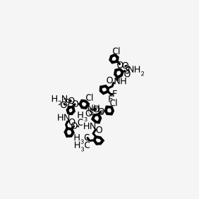 CC(C)c1ccccc1CC(=O)Nc1ccc(Oc2cccc(Cl)c2)c(S(N)(=O)=O)c1.CCOc1ccccc1CC(=O)Nc1ccc(Oc2cccc(Cl)c2)c(S(N)(=O)=O)c1.NS(=O)(=O)c1cc(NC(=O)Cc2ccccc2C(F)F)ccc1Oc1cccc(Cl)c1